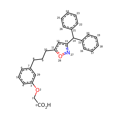 O=C(O)COc1cccc(CCCc2cc(C(c3ccccc3)c3ccccc3)no2)c1